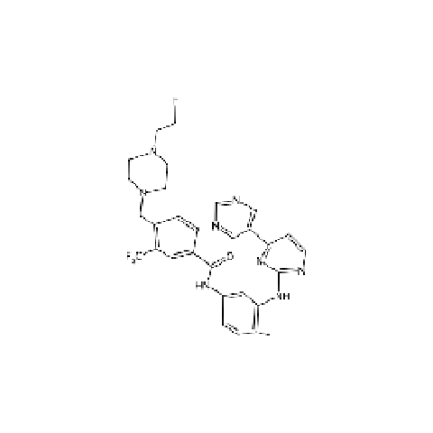 Cc1ccc(NC(=O)c2ccc(CN3CCN(CCF)CC3)c(C(F)(F)F)c2)cc1Nc1nccc(-c2cncnc2)n1